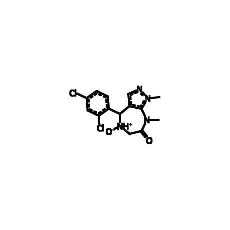 CN1C(=O)C[NH+]([O-])C(c2ccc(Cl)cc2Cl)c2cnn(C)c21